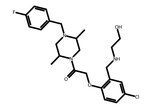 CC1CN(C(=O)COc2ccc(Cl)cc2CNCCO)C(C)CN1Cc1ccc(F)cc1